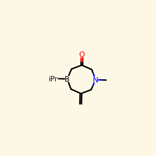 C=C1CB(C(C)C)CC(=O)CN(C)C1